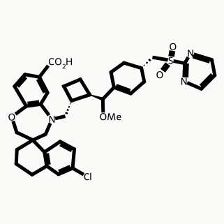 COC(C1=CC[C@@H](CS(=O)(=O)c2ncccn2)CC1)[C@@H]1CC[C@H]1CN1CC2(CCCc3cc(Cl)ccc32)COc2ccc(C(=O)O)cc21